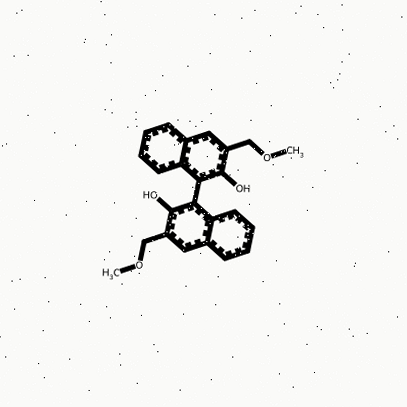 COCc1cc2ccccc2c(-c2c(O)c(COC)cc3ccccc23)c1O